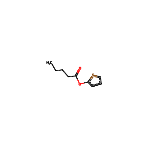 CCCCC(=O)Oc1cccs1